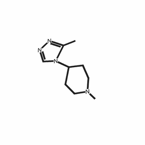 Cc1nncn1C1CCN(C)CC1